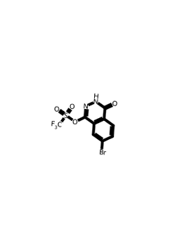 O=c1[nH]nc(OS(=O)(=O)C(F)(F)F)c2cc(Br)ccc12